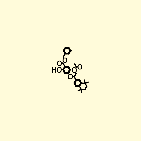 CC(=O)OCC(Oc1ccc(C(=O)OCc2ccccc2)c(O)c1)c1ccc2c(c1)C(C)(C)CCC2(C)C